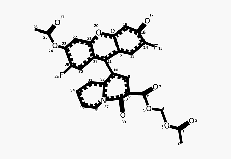 CC(=O)OCOC(=O)c1cc(-c2c3cc(F)c(=O)cc-3oc3cc(OC(C)=O)c(F)cc23)c2ccccn2c1=O